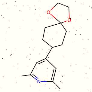 Cc1cc(C2CCC3(CC2)OCCO3)cc(C)n1